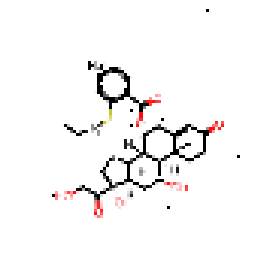 C[C@]12CCC(=O)C=C1CC[C@@H]1[C@@H]2[C@@H](O)C[C@@]2(C)[C@H]1CC[C@]2(O)C(=O)CO.C[CH2][Hg][S]c1ccccc1C(=O)[O-].[Na+]